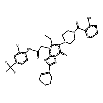 CCc1c(N2CCN(C(=O)c3ncccc3O)CC2)c(=O)n2nc(C3=CCOCC3)nc2n1CC(=O)Nc1ccc(C(F)(F)F)cc1Cl